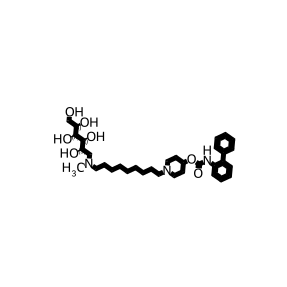 CN(CCCCCCCCCN1CCC(OC(=O)Nc2ccccc2-c2ccccc2)CC1)C[C@H](O)[C@@H](O)[C@H](O)[C@H](O)CO